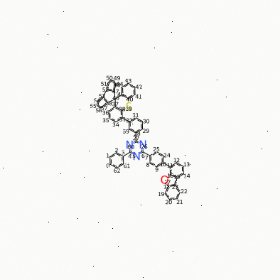 c1ccc(-c2nc(-c3ccc(-c4cccc5c4oc4ccccc45)cc3)nc(-c3cccc(-c4cccc5c4Sc4ccccc4C54c5ccccc5-c5ccccc54)c3)n2)cc1